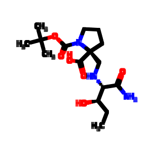 CC[C@@H](O)[C@H](NC[C@]1(C(=O)O)CCCN1C(=O)OC(C)(C)C)C(N)=O